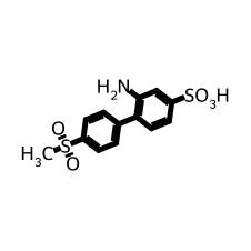 CS(=O)(=O)c1ccc(-c2ccc(S(=O)(=O)O)cc2N)cc1